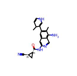 Cc1c(C2=CNC=CC2C)cc2cc(NC(=O)[C@@H]3C[C@H]3C#N)ncc2c1N